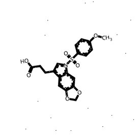 COc1ccc(S(=O)(=O)n2cc(CCC(=O)O)c3cc4c(cc32)OCO4)cc1